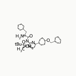 CC(C)(C)[Si](C)(C)ON(C(=O)[C@@H](N)Cc1ccccc1)c1nccc(-c2ccc(OCc3ccccc3)cc2)n1